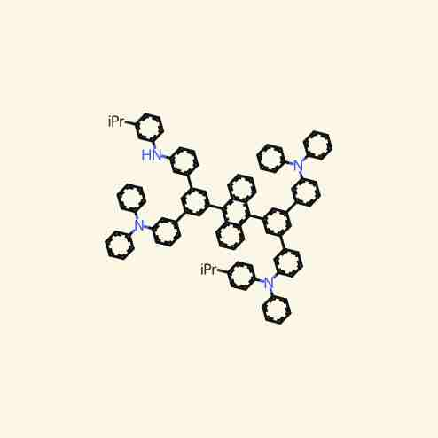 CC(C)c1ccc(N(c2ccccc2)c2cccc(-c3cc(-c4cccc(N(c5ccccc5)c5ccccc5)c4)cc(-c4c5ccccc5c(-c5cc(-c6cccc(Nc7cccc(C(C)C)c7)c6)cc(-c6cccc(N(c7ccccc7)c7ccccc7)c6)c5)c5ccccc45)c3)c2)cc1